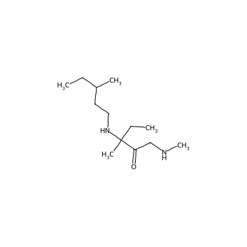 CCC(C)CCNC(C)(CC)C(=O)CNC